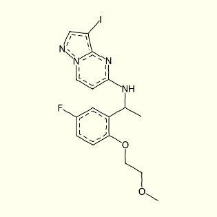 COCCOc1ccc(F)cc1C(C)Nc1ccn2ncc(I)c2n1